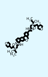 CC[C@H](C)N(Cc1ncc(-c2ccc3c(c2)COc2cc4c(ccc5nc(CN(C(=O)CC6CCOCC6)[C@@H](C)CC)[nH]c54)cc2-3)[nH]1)C(=O)CC1CCOCC1